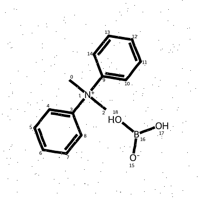 C[N+](C)(c1ccccc1)c1ccccc1.[O-]B(O)O